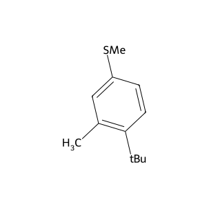 CSc1ccc(C(C)(C)C)c(C)c1